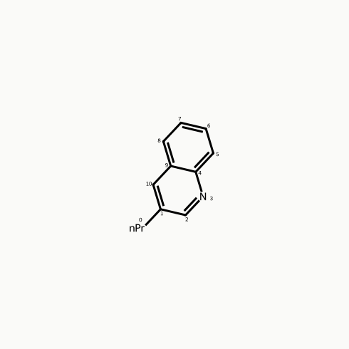 [CH2]CCc1cnc2ccccc2c1